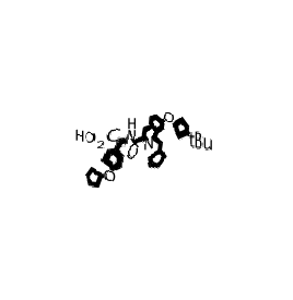 CC(C)(C)c1ccc(Oc2ccc3cc(C(=O)N[C@H](C(=O)O)c4ccc(OC5CCCC5)cc4)nc(CC4CCCC4)c3c2)cc1